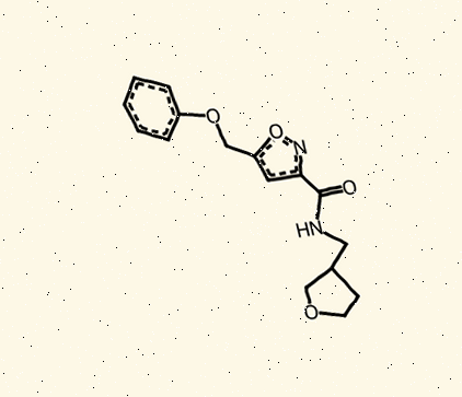 O=C(NCC1CCOC1)c1cc(COc2ccccc2)on1